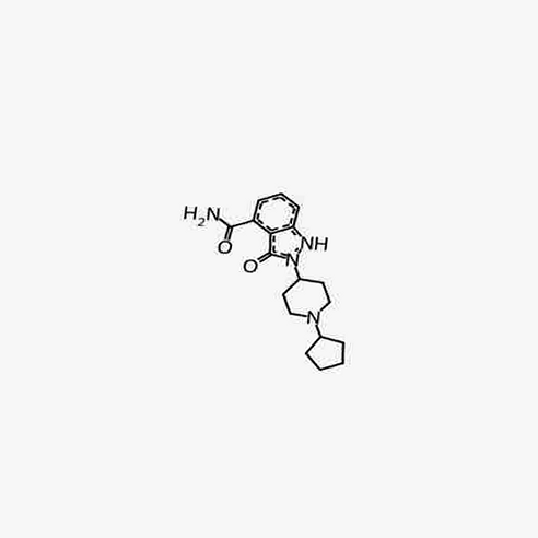 NC(=O)c1cccc2[nH]n(C3CCN(C4CCCC4)CC3)c(=O)c12